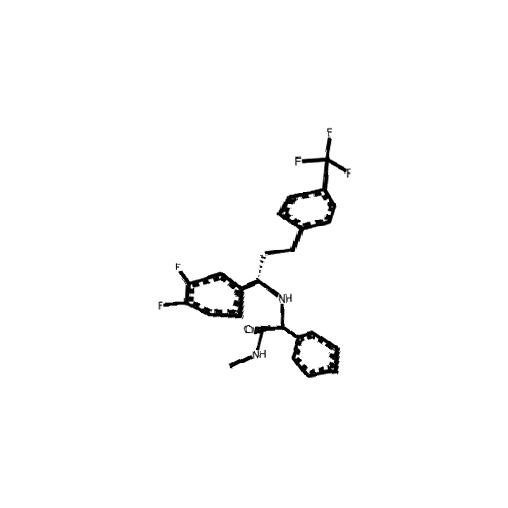 CNC(=O)C(N[C@@H](CCc1ccc(C(F)(F)F)cc1)c1ccc(F)c(F)c1)c1ccccc1